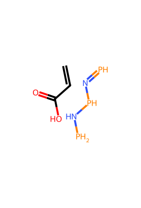 C=CC(=O)O.P=NPNP